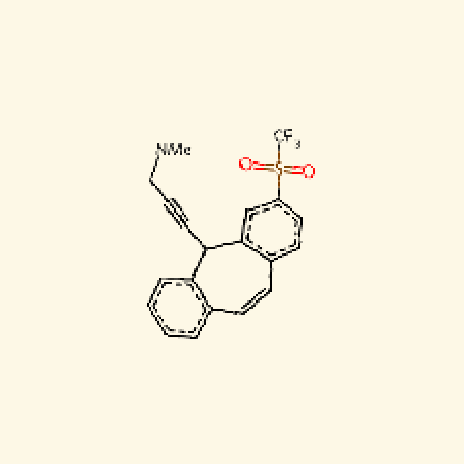 CNCC#CC1c2ccccc2C=Cc2ccc(S(=O)(=O)C(F)(F)F)cc21